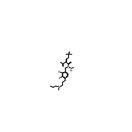 C=C(C)/C(=C/CC(C)(C)C)C(=C)N(Cc1ccc(CCCN(C)CCC)c(F)c1F)NC